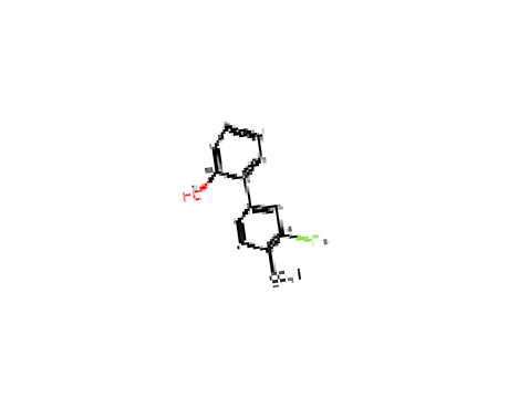 O=C(O)c1ccc(-c2ccccc2O)cc1F